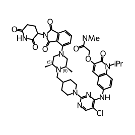 CNC(=O)COc1cc2cc(Nc3nc(N4CCC(CN5[C@H](C)CN(c6cccc7c6C(=O)N(C6CCC(=O)NC6=O)C7=O)C[C@@H]5C)CC4)ncc3Cl)ccc2n(C(C)C)c1=O